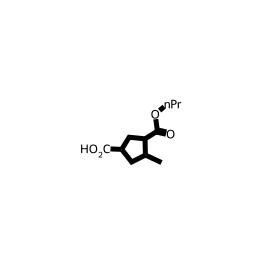 CCCOC(=O)C1CC(C(=O)O)CC1C